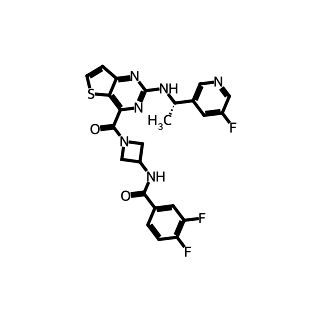 C[C@H](Nc1nc(C(=O)N2CC(NC(=O)c3ccc(F)c(F)c3)C2)c2sccc2n1)c1cncc(F)c1